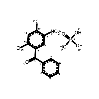 O=C(c1ccccc1)c1cc([N+](=O)[O-])c(Cl)cc1Cl.O=P(O)(O)O